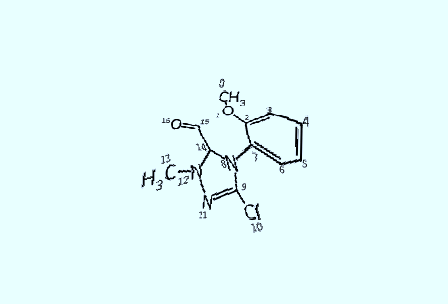 COc1ccccc1N1C(Cl)=NN(C)C1C=O